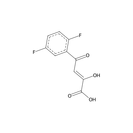 O=C(O)C(O)=CC(=O)c1cc(F)ccc1F